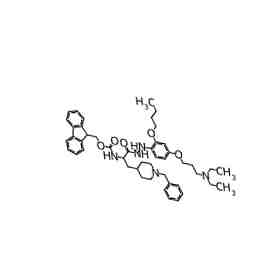 CCCCOc1cc(OCCCN(CC)CC)ccc1NNC(=O)C(CC1CCN(Cc2ccccc2)CC1)NC(=O)OCC1c2ccccc2-c2ccccc21